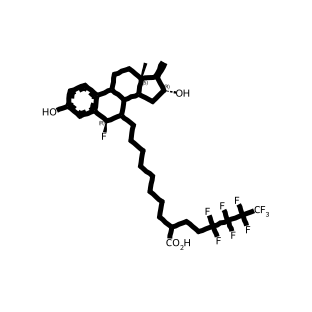 C=C1[C@H](O)CC2C3C(CC[C@]12C)c1ccc(O)cc1[C@H](F)C3CCCCCCCCC(CCC(F)(F)C(F)(F)C(F)(F)C(F)(F)F)C(=O)O